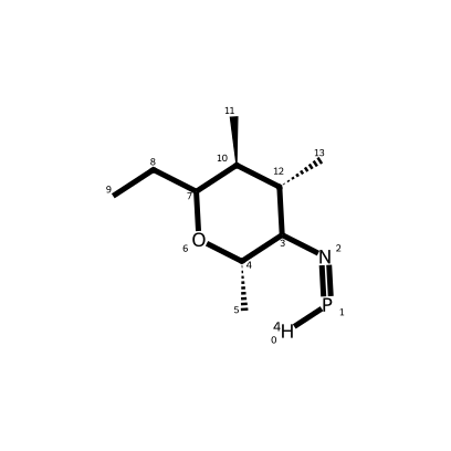 [4H]/P=N\C1[C@H](C)OC(CC)[C@@H](C)[C@@H]1C